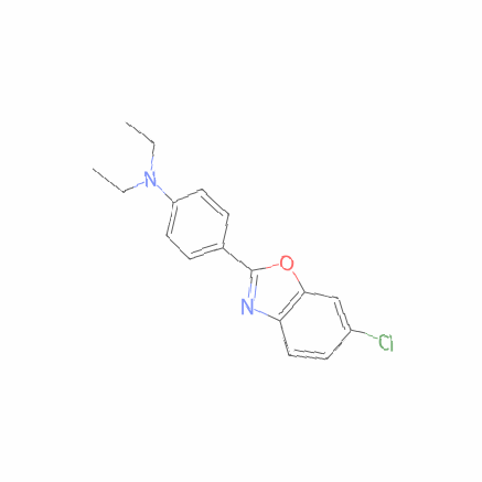 CCN(CC)c1ccc(-c2nc3ccc(Cl)cc3o2)cc1